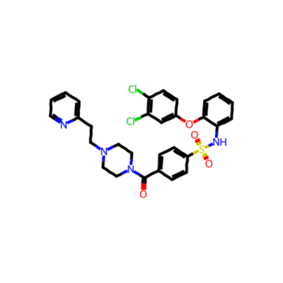 O=C(c1ccc(S(=O)(=O)Nc2ccccc2Oc2ccc(Cl)c(Cl)c2)cc1)N1CCN(CCc2ccccn2)CC1